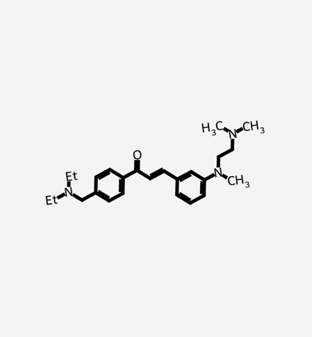 CCN(CC)Cc1ccc(C(=O)C=Cc2cccc(N(C)CCN(C)C)c2)cc1